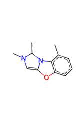 Cc1cccc2c1N1C(=CN(C)C1C)O2